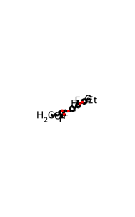 C=CCOc1ccc(CCC2CCC(c3ccc(C4CCC(OCC)CC4)c(F)c3F)CC2)c(F)c1F